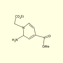 CCOC(=O)CN1C=CC(C(=O)OC)=CC1N